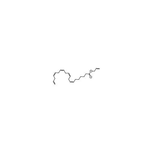 C=CC/C=C\C/C=C\C/C=C\C/C=C\CCCCCC(=O)OCC=C